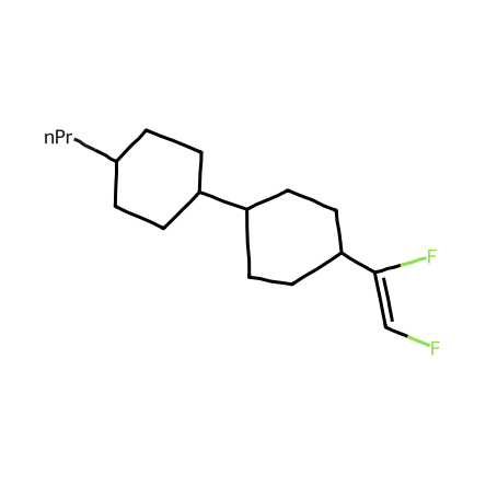 CCCC1CCC(C2CCC(C(F)=CF)CC2)CC1